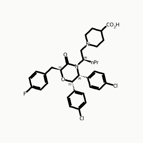 CCC[C@H](CN1CCC(C(=O)O)CC1)N1C(=O)[C@H](Cc2ccc(F)cc2)O[C@@H](c2ccc(Cl)cc2)[C@H]1c1ccc(Cl)cc1